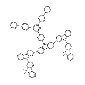 CC1(C)c2ccccc2-c2ccc(-n3c4ccccc4c4ccc(-c5ccc6c7ccc(-c8ccc9c%10ccccc%10n(-c%10ccc%11c(c%10)C(C)(C)c%10ccccc%10-%11)c9c8)cc7n(-c7ccc(-c8nc(-c9ccc(-c%10ccccc%10)cc9)cc(-c9ccc(-c%10ccccc%10)cc9)n8)cc7)c6c5)cc43)cc21